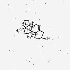 C[C@]12CCC(O)CC1=CC[C@@H]1[C@H]2CC[C@]2(C)OCC[C@@H]12